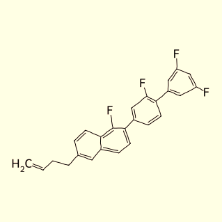 C=CCCc1ccc2c(F)c(-c3ccc(-c4cc(F)cc(F)c4)c(F)c3)ccc2c1